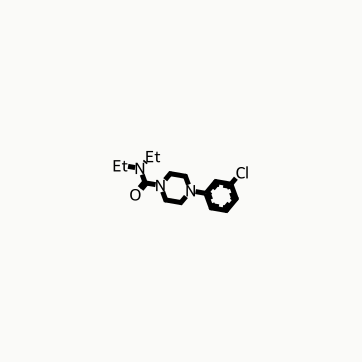 CCN(CC)C(=O)N1CCN(c2cccc(Cl)c2)CC1